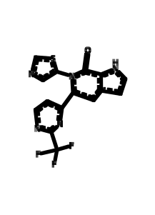 O=c1c2[nH]ccc2cc(-c2ccnc(C(F)(F)F)n2)n1-c1cncs1